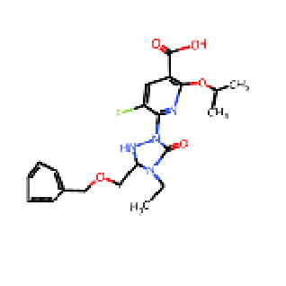 CCN1C(=O)N(c2nc(OC(C)C)c(C(=O)O)cc2F)NC1COCc1ccccc1